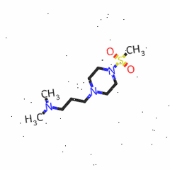 CN(C)CCCN1CCN(S(C)(=O)=O)CC1